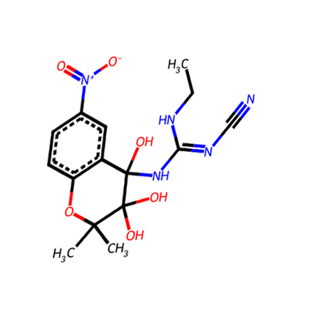 CCN/C(=N\C#N)NC1(O)c2cc([N+](=O)[O-])ccc2OC(C)(C)C1(O)O